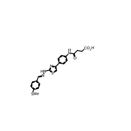 CSc1ccc(/C=N/Nc2nc(-c3ccc(NC(=O)CCC(=O)O)cc3)cs2)cc1